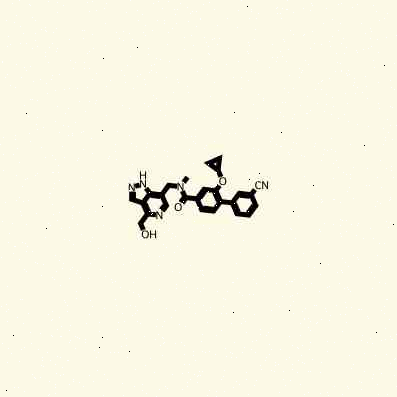 CN(Cc1cnc(CO)c2cn[nH]c12)C(=O)c1ccc(-c2cccc(C#N)c2)c(OC2CC2)c1